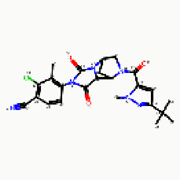 Cc1c(N2C(=O)C3C4CC(CN4C(=O)c4cc(C(C)(C)C)nn4C)N3C2=O)ccc(C#N)c1Cl